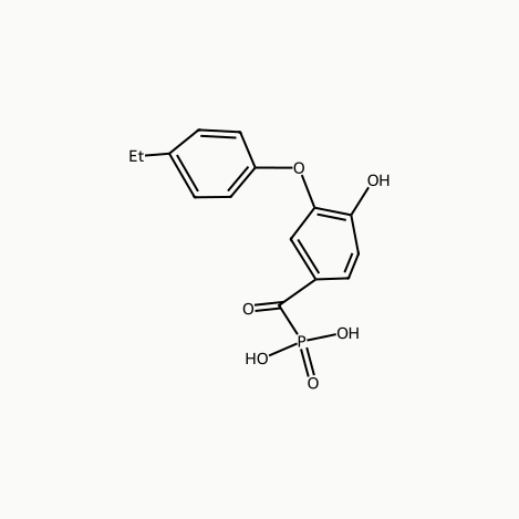 CCc1ccc(Oc2cc(C(=O)P(=O)(O)O)ccc2O)cc1